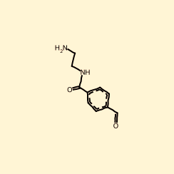 NCCNC(=O)c1ccc(C=O)cc1